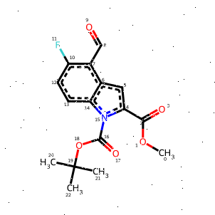 COC(=O)c1cc2c(C=O)c(F)ccc2n1C(=O)OC(C)(C)C